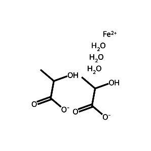 CC(O)C(=O)[O-].CC(O)C(=O)[O-].O.O.O.[Fe+2]